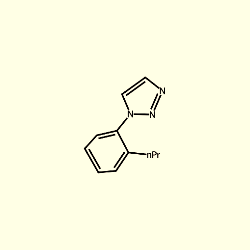 CCCc1ccccc1-n1ccnn1